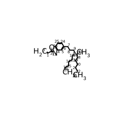 C=Cc1nc2cc(CCC[N+](C)(CCCCCC)CCCCCC)ccc2o1